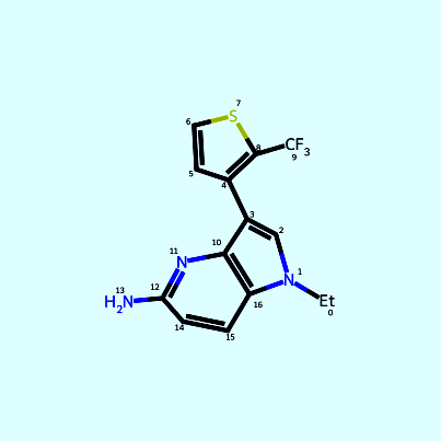 CCn1cc(-c2ccsc2C(F)(F)F)c2nc(N)ccc21